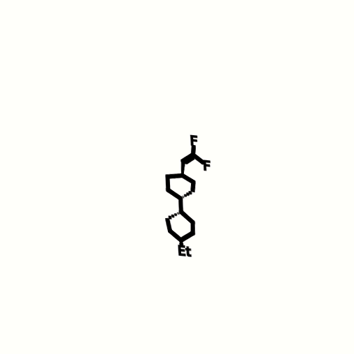 CC[C@H]1CC[C@H]([C@H]2CC[C@H](C=C(F)F)CC2)CC1